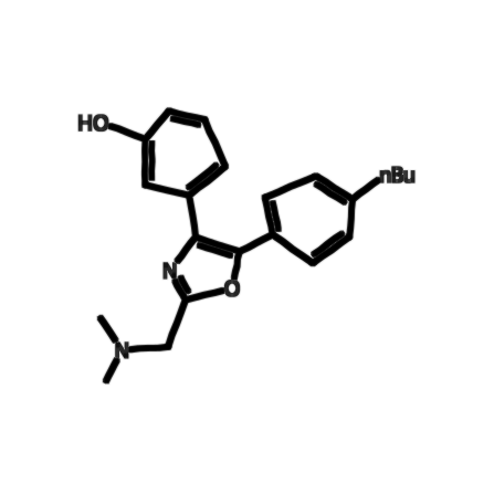 CCCCc1ccc(-c2oc(CN(C)C)nc2-c2cccc(O)c2)cc1